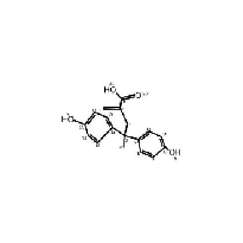 C=C(CC(C)(c1ccc(O)cc1)c1ccc(O)cc1)C(=O)O